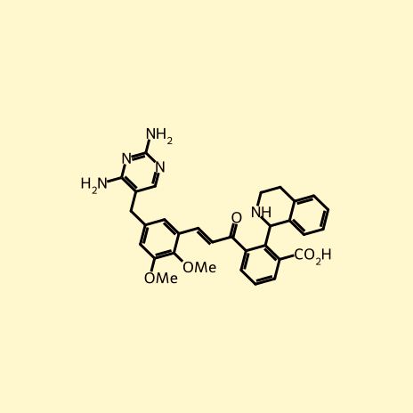 COc1cc(Cc2cnc(N)nc2N)cc(C=CC(=O)c2cccc(C(=O)O)c2C2NCCc3ccccc32)c1OC